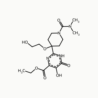 CCOC(=O)c1nc(C2(OCCO)CCN(C(=O)N(C)C)CC2)[nH]c(=O)c1O